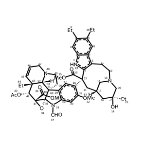 CCc1cc2[nH]c3c(c2cc1CC)CCN1C[C@H](C[C@@](O)(CC)C1)C[C@]3(C(=O)OC)c1cc2c(cc1OC)N(C=O)[C@@]13O[C@]1(C(=O)OC)[C@H](OC(C)=O)[C@]1(CC)C=CCN4CC[C@]23[C@@H]41